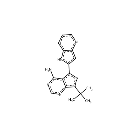 CC(C)(C)n1nc(-c2cc3ncccc3[nH]2)c2c(N)ncnc21